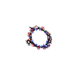 CC[C@H](C)C1NC(=O)C(C)N(C)C(=O)CC(C)N(C)C(=O)C(C(C)C)N(C)C(=O)C2(CCCC2)NC(=O)C2CCCN2C(=O)CNC(=O)CN(C)C(=O)C(CC2CCCCC2)N(C)C(=O)CN(C)C(=O)CN(C)C1=O